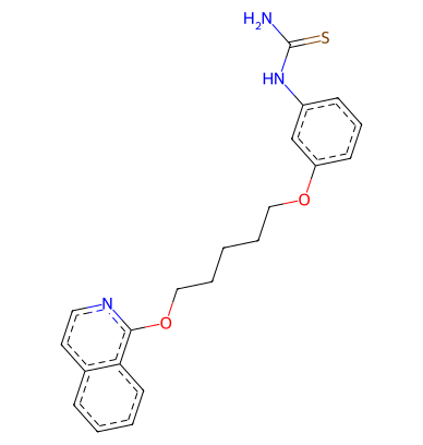 NC(=S)Nc1cccc(OCCCCCOc2nccc3ccccc23)c1